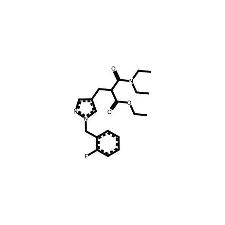 CCOC(=O)C(Cc1cnn(Cc2ccccc2F)c1)C(=O)N(CC)CC